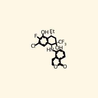 CC[C@@H]1C[C@](O)(C(F)(F)F)[C@@H](Nc2cccc3c(=O)occc23)c2cc(Cl)c(F)c(O)c21